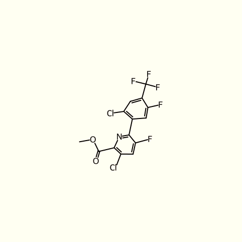 COC(=O)c1nc(-c2cc(F)c(C(F)(F)F)cc2Cl)c(F)cc1Cl